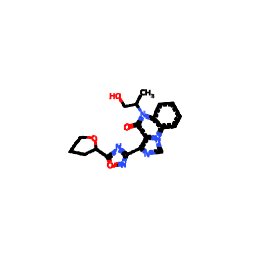 CC(CO)n1c(=O)c2c(-c3noc(C4CCCO4)n3)ncn2c2ccccc21